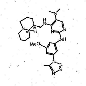 COc1cc(Nc2ncc(N(C)C)c(NC[C@@H]3CCCN4CCCC[C@H]34)n2)cc(-n2nnnc2C)c1